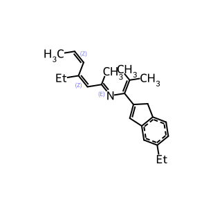 C\C=C/C(=C\C(C)=N\C(C1=Cc2cc(CC)ccc2C1)=C(C)C)CC